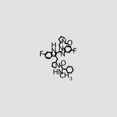 CNC(C(=O)N1CCCC1Cc1c(-c2nc3cc(F)ccc3n2CC2CCCN2C=O)[nH]c2cc(F)ccc12)C1CCCCC1